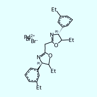 CCc1cccc([C@H]2N=C(CC3=N[C@H](c4cccc(CC)c4)C(CC)O3)OC2CC)c1.[Br-].[Br-].[Pd+2]